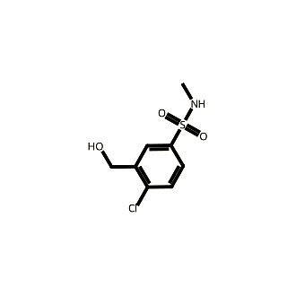 CNS(=O)(=O)c1ccc(Cl)c(CO)c1